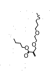 C=C(COCCOCCCSC)C(=O)OCCCC